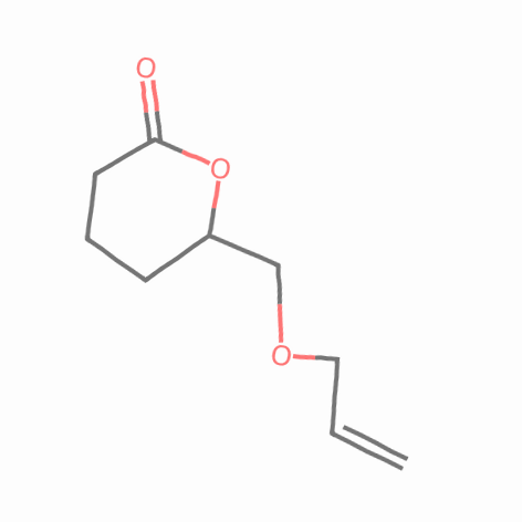 C=CCOCC1CCCC(=O)O1